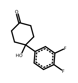 O=C1CCC(O)(c2ccc(F)c(F)c2)CC1